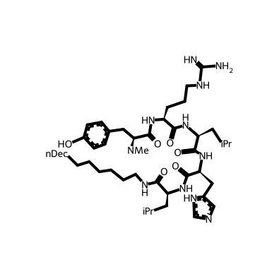 CCCCCCCCCCCCCCCCNC(=O)[C@H](CC(C)C)NC(=O)[C@H](Cc1cnc[nH]1)NC(=O)[C@H](CC(C)C)NC(=O)[C@H](CCCNC(=N)N)NC(=O)[C@H](Cc1ccc(O)cc1)NC